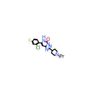 CC(C)N1CCC(c2nc3cc(-c4ccc(F)cc4Cl)[nH]c(=O)n3n2)CC1